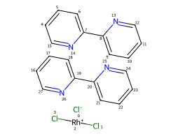 [Cl-].[Cl][Rh+][Cl].c1ccc(-c2ccccn2)nc1.c1ccc(-c2ccccn2)nc1